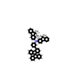 CC1(C)c2ccccc2-c2ccc(N(c3cccc(-c4cccc5c4-c4ccccc4C54c5ccccc5-c5ccccc54)c3)c3ccc4c(c3)C(C)(C)c3ccccc3-4)cc21